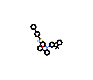 CC1(C)c2ccccc2-c2ccc(N(c3ccc4nc(-c5ccc(-c6ccccc6)cc5)sc4c3)c3ccccc3-c3ccccc3)cc21